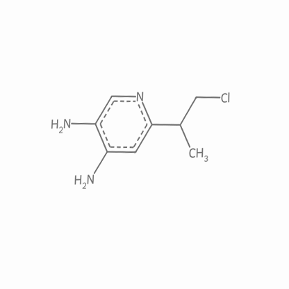 CC(CCl)c1cc(N)c(N)cn1